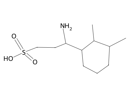 CC1CCCC(C(N)CCS(=O)(=O)O)C1C